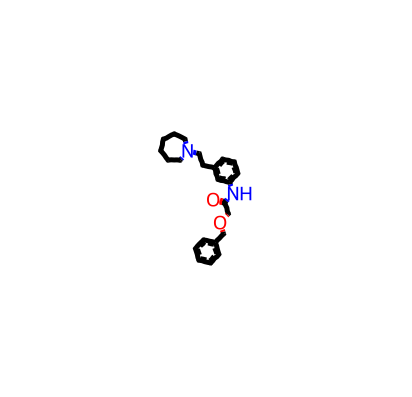 O=C(COCc1ccccc1)Nc1cccc(CCN2CCCCCC2)c1